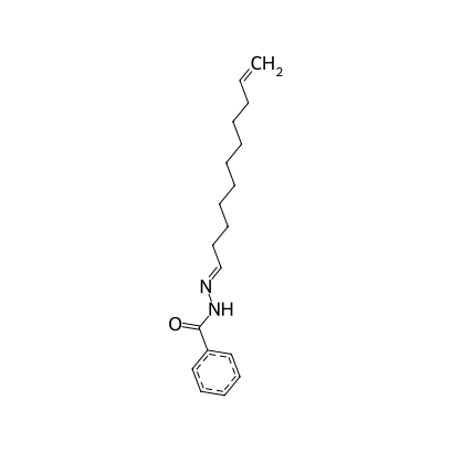 C=CCCCCCCCCC=NNC(=O)c1ccccc1